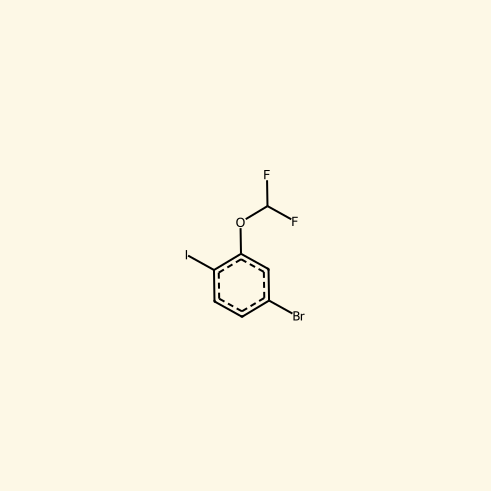 FC(F)Oc1cc(Br)ccc1I